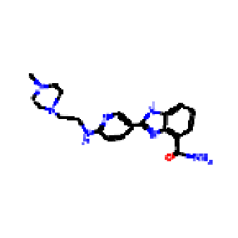 CN1CCN(CCNc2ccc(-c3nc4c(C(N)=O)cccc4[nH]3)cn2)CC1